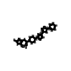 Cc1cc(C(F)(F)F)n(CC(=O)N2CCC(c3nc(C4=NOC(c5ccccc5)C4)cs3)CC2)n1